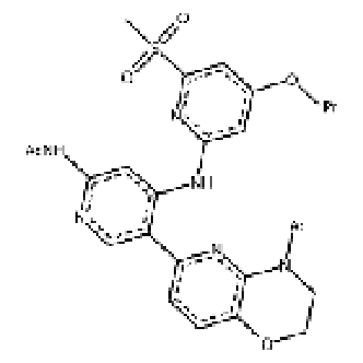 CC(=O)Nc1cc(Nc2cc(OC(C)C)cc(S(C)(=O)=O)n2)c(-c2ccc3c(n2)N(C(C)=O)CCO3)cn1